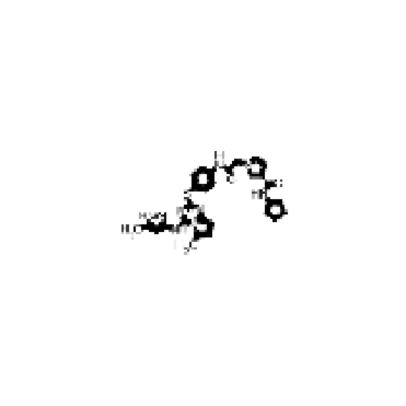 Cc1cc(Nc2nc(Sc3ccc(NC(=O)CN4CC[C@@H](C(=O)NC5CCCC5)C4)cc3)nc3ccc(C)n23)n[nH]1